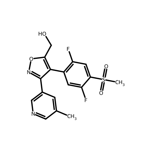 Cc1cncc(-c2noc(CO)c2-c2cc(F)c(S(C)(=O)=O)cc2F)c1